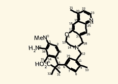 CNc1ccc(C(c2ccc(C)c(CN3CCOc4cc5c(C)ccnc5cc4C3)c2)C(C)(C)C(=O)O)c(C)c1N